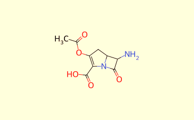 CC(=O)OC1=C(C(=O)O)N2C(=O)C(N)C2C1